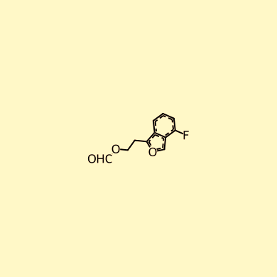 O=COCCc1occ2c(F)cccc12